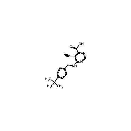 CC(C)(C)c1ccc(CNc2ncnc(C(=O)O)c2C#N)cc1